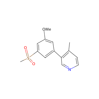 COc1cc(-c2cnccc2C)cc(S(C)(=O)=O)c1